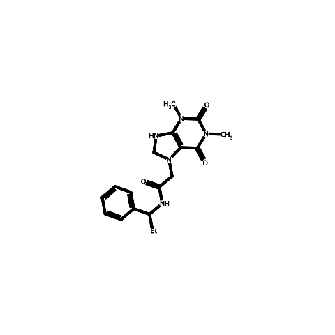 CCC(NC(=O)CN1CNc2c1c(=O)n(C)c(=O)n2C)c1ccccc1